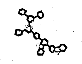 c1ccc(-c2cc(-c3ccccc3)cc(-c3nc(-c4ccccc4)cc(-c4ccc(-c5ccc(-c6ccc7sc8ccccc8c7c6)c6c5oc5ccccc56)cc4)n3)c2)cc1